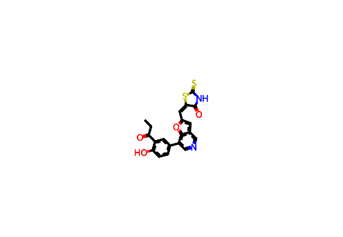 CCC(=O)c1cc(-c2cncc3cc(C=C4SC(=S)NC4=O)oc23)ccc1O